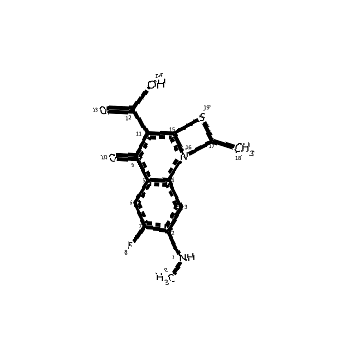 CNc1cc2c(cc1F)c(=O)c(C(=O)O)c1n2C(C)S1